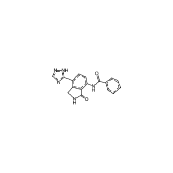 O=C(Nc1ccc(-c2ncn[nH]2)c2c1C(=O)NC2)c1ccccc1